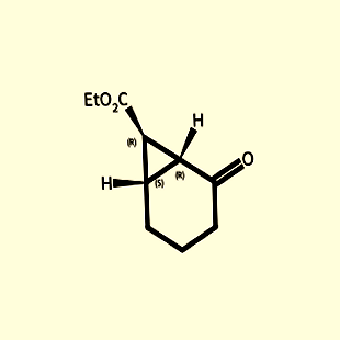 CCOC(=O)[C@@H]1[C@H]2CCCC(=O)[C@H]21